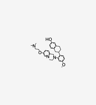 CCN(Cc1ccc(OCCN(C)C)cn1)c1cc(OC)ccc1C1CCc2cc(O)ccc2C1